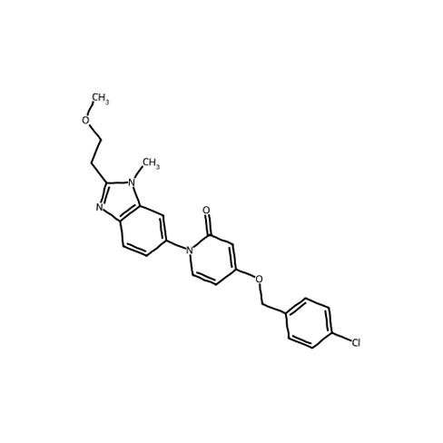 COCCc1nc2ccc(-n3ccc(OCc4ccc(Cl)cc4)cc3=O)cc2n1C